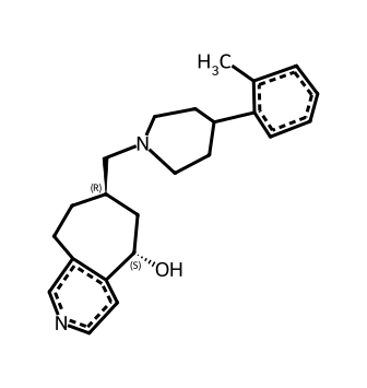 Cc1ccccc1C1CCN(C[C@@H]2CCc3cnccc3[C@@H](O)C2)CC1